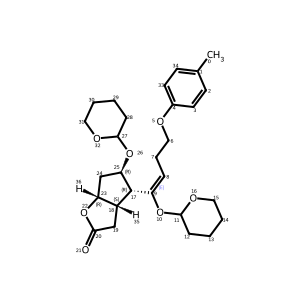 Cc1ccc(OCC/C=C(/OC2CCCCO2)[C@@H]2[C@@H]3CC(=O)O[C@@H]3C[C@H]2OC2CCCCO2)cc1